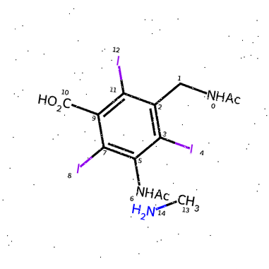 CC(=O)NCc1c(I)c(NC(C)=O)c(I)c(C(=O)O)c1I.CN